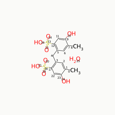 Cc1cc(Cc2cc(C)c(O)cc2S(=O)(=O)O)c(S(=O)(=O)O)cc1O.O